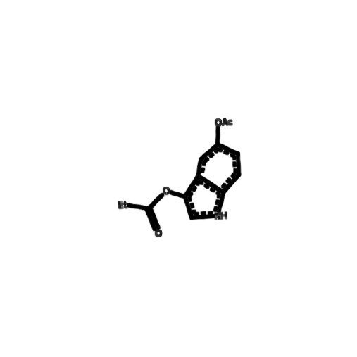 CCC(=O)Oc1c[nH]c2ccc(OC(C)=O)cc12